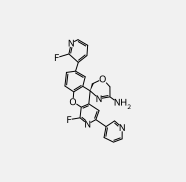 NC1=N[C@@]2(COC1)c1cc(-c3cccnc3F)ccc1Oc1c2cc(-c2cccnc2)nc1F